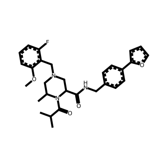 COc1cccc(F)c1CN1CC(C)N(C(=O)C(C)C)C(C(=O)NCc2ccc(-c3ccco3)cc2)C1